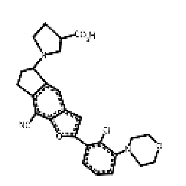 N#Cc1c2c(cc3cc(-c4cccc(N5CCOCC5)c4Cl)oc13)C(N1CCC(C(=O)O)C1)CC2